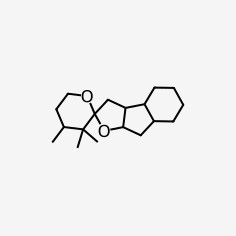 CC1CCOC2(CC3C(CC4CCCCC43)O2)C1(C)C